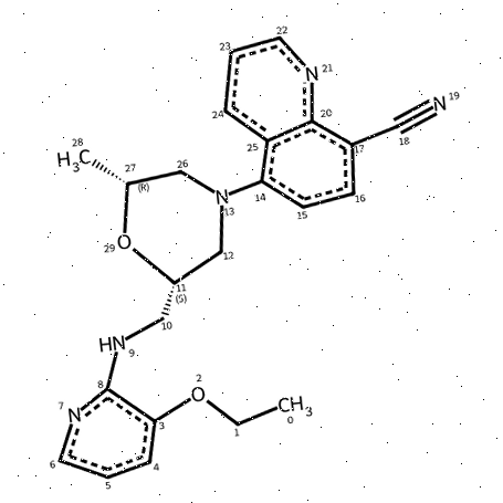 CCOc1cccnc1NC[C@H]1CN(c2ccc(C#N)c3ncccc23)C[C@@H](C)O1